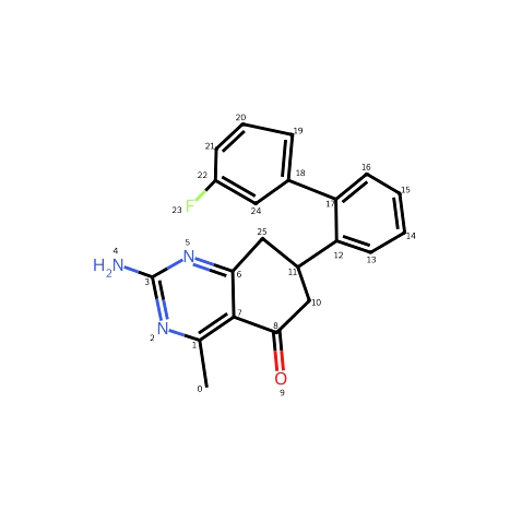 Cc1nc(N)nc2c1C(=O)CC(c1ccccc1-c1cccc(F)c1)C2